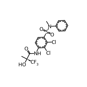 CN(c1ccccc1)S(=O)(=O)c1ccc(NC(=O)[C@@](C)(O)C(F)(F)F)c(Cl)c1Cl